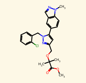 COC(=O)C(C)(C)OCc1cc(-c2ccc3c(cnn3C)c2)n(Cc2ccccc2Cl)n1